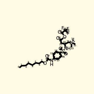 CCCCCCCCOC(=O)Nc1ccc(S(=O)(=O)NC(CC(=O)OC(=O)C(F)(F)F)C[N+](C)(C)C)cc1